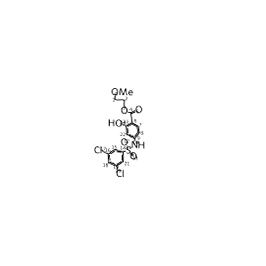 COCCOC(=O)c1ccc(NS(=O)(=O)c2cc(Cl)cc(Cl)c2)cc1O